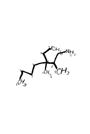 CCCCC(C)(CC)C(C)CN